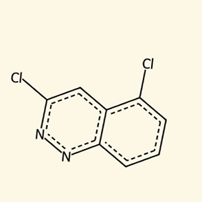 Clc1cc2c(Cl)cccc2nn1